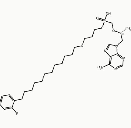 C[C@H](Cn1cnc2c(N)ncnc21)OCP(=O)(O)OCCCSCCCCCCCCCCCCc1ccccc1F